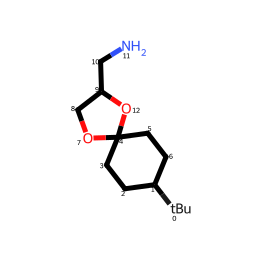 CC(C)(C)C1CCC2(CC1)OCC(CN)O2